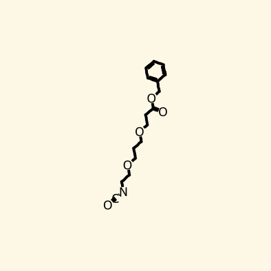 O=C=NCCOCCCOCCC(=O)OCc1ccccc1